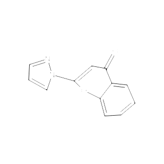 O=c1cc(-n2cccn2)oc2ccccc12